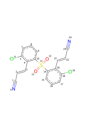 N#CC=Cc1c(Cl)cccc1S(=O)(=O)c1cccc(Cl)c1C=CC#N